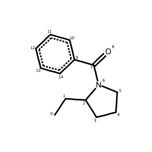 CCC1CCCN1C(=O)c1ccccc1